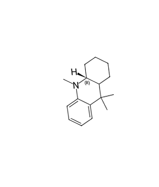 CN1c2ccccc2C(C)(C)C2CCCC[C@H]21